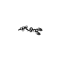 C=C1/C(=C\C=C2/CCC[C@]3(C)[C@@H]([C@H](C)/C=C/C(=O)C(C)(C)OC(=O)OCCC)CC[C@@H]23)C[C@@H](O[Si](C)(C)C(C)(C)C)C[C@@H]1O[Si](C)(C)C(C)(C)C